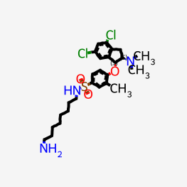 Cc1cc(S(=O)(=O)NCCCCCCCCN)ccc1O[C@H]1c2cc(Cl)cc(Cl)c2C[C@@H]1N(C)C